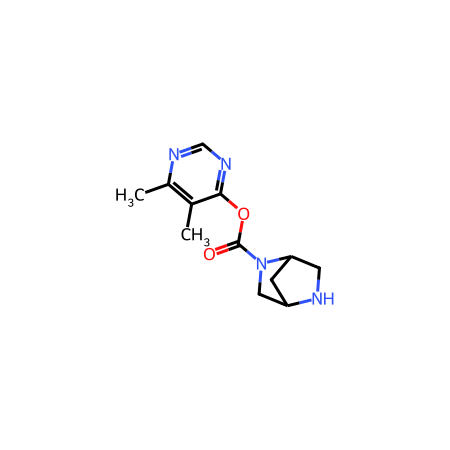 Cc1ncnc(OC(=O)N2CC3CC2CN3)c1C